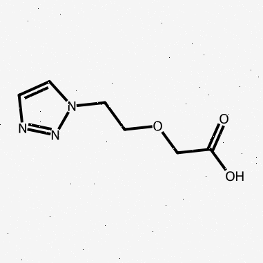 O=C(O)COCCn1ccnn1